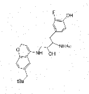 CC(=O)NC(Cc1ccc(O)c(F)c1)C(O)CNC1=CCOc2ccc(CC(C)(C)C)cc21